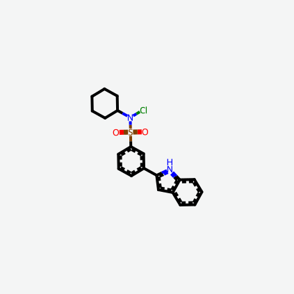 O=S(=O)(c1cccc(-c2cc3ccccc3[nH]2)c1)N(Cl)C1CCCCC1